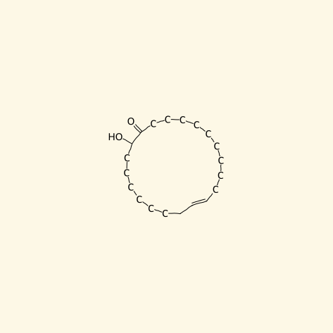 O=C1CCCCCCCCC/C=C/CCCCCCCC1O